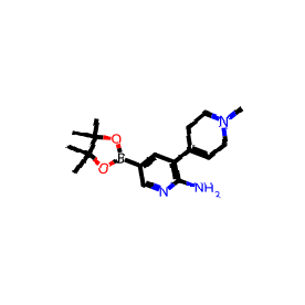 CN1CC=C(c2cc(B3OC(C)(C)C(C)(C)O3)cnc2N)CC1